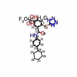 Cn1nnnc1Sc1ccc(C(O)(O)C(F)(F)F)cc1C(=O)Nc1ccc(C2CCCCC2)cc1